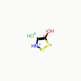 Cl.OC1=CNSS1